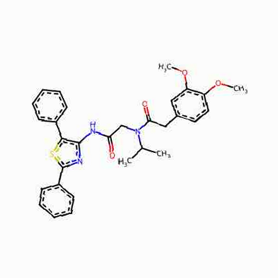 COc1ccc(CC(=O)N(CC(=O)Nc2nc(-c3ccccc3)sc2-c2ccccc2)C(C)C)cc1OC